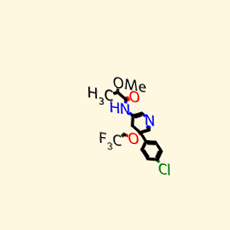 COC(C)C(=O)NC1=CN=CC(OCC(F)(F)F)(c2ccc(Cl)cc2)C1